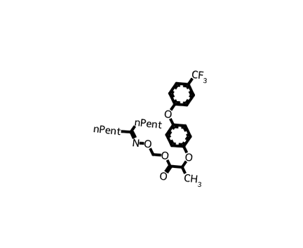 CCCCCC(CCCCC)=NOCOC(=O)C(C)Oc1ccc(Oc2ccc(C(F)(F)F)cc2)cc1